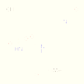 COC(=O)CC[C@H](NS(=O)(=O)c1ccc(C)cc1)C(=O)Nc1ccc(N2CCOCC2)cc1